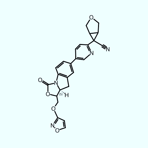 N#CC1(c2ccc(-c3ccc4c(c3)C[C@H]3C(COc5ccon5)OC(=O)N43)cn2)C2COCC21